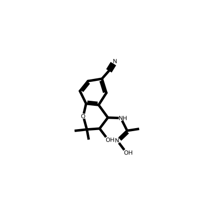 CC(=NO)NC1c2cc(C#N)ccc2OC(C)(C)C1O